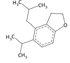 CC(C)Cc1c(C(C)C)ccc2c1CCO2